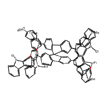 CCn1c2ccccc2c2ccc(N(c3ccc(OC)cc3)c3ccc4c(c3)C3(c5cc(N(c6ccc(OC)cc6)c6ccc7c8ccccc8n(CC)c7c6)ccc5-4)c4cc(N(c5ccc(OC)cc5)c5ccc6c7ccccc7n(CC)c6c5)ccc4-c4ccc(N(c5ccc(OC)cc5)c5ccc6c7ccccc7n(CC)c6c5)cc43)cc21